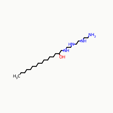 CCCCCCCCCCCCCCC(O)CNCCNCCNCCN